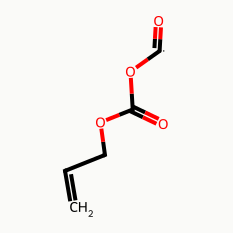 C=CCOC(=O)O[C]=O